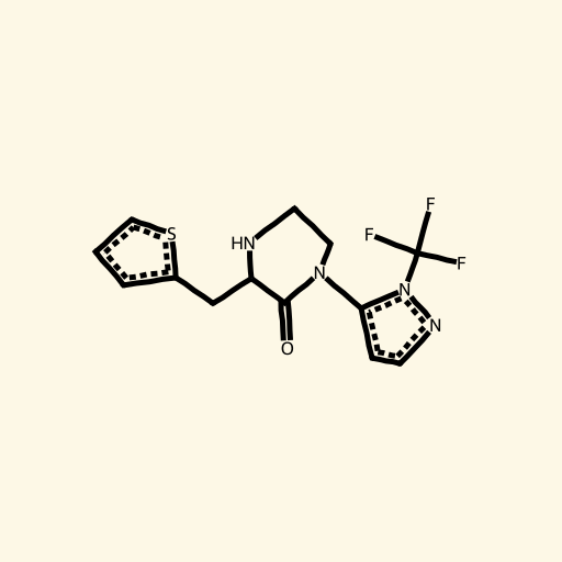 O=C1C(Cc2cccs2)NCCN1c1ccnn1C(F)(F)F